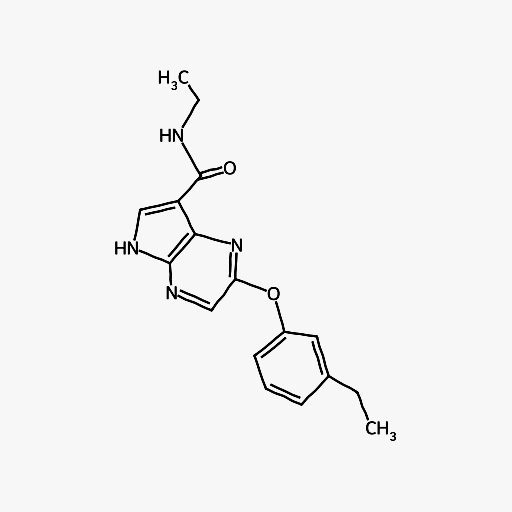 CCNC(=O)c1c[nH]c2ncc(Oc3cccc(CC)c3)nc12